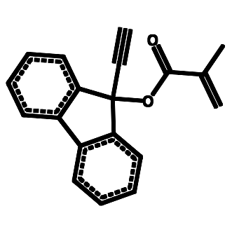 C#CC1(OC(=O)C(=C)C)c2ccccc2-c2ccccc21